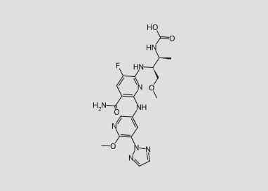 COC[C@@H](Nc1nc(Nc2cnc(OC)c(-n3nccn3)c2)c(C(N)=O)cc1F)[C@H](C)NC(=O)O